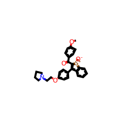 COc1ccc(C(=O)c2c(-c3ccc(OCCN4CCCC4)cc3)c3ccccc3[s+]2[O-])cc1